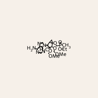 CCOP(C)(=O)CO[C@@]12CC1[C@@H](n1cnc3c(N)ncnc31)[C@@](C)(OCOC)C2OCOC